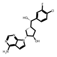 Nc1ncnc2c1ccn2[C@@H]1C[C@H]([C@H](O)c2ccc(Cl)c(F)c2)C[C@H]1O